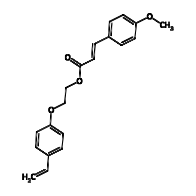 C=Cc1ccc(OCCOC(=O)/C=C/c2ccc(OC)cc2)cc1